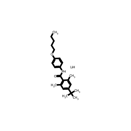 CCCCCOc1ccc(PC(=O)c2c(C)cc(C(C)(C)C)cc2C)cc1.[LiH]